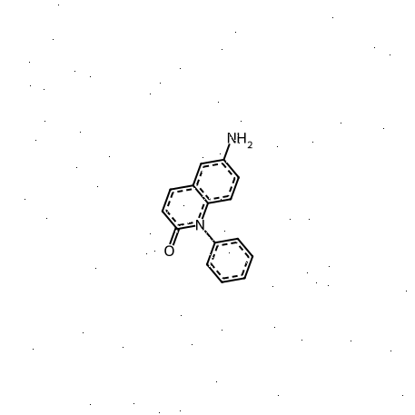 Nc1ccc2c(ccc(=O)n2-c2ccccc2)c1